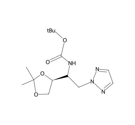 CC(C)(C)OC(=O)NC(Cn1nccn1)[C@H]1COC(C)(C)O1